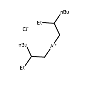 CCCCC(CC)[CH2][Al+][CH2]C(CC)CCCC.[Cl-]